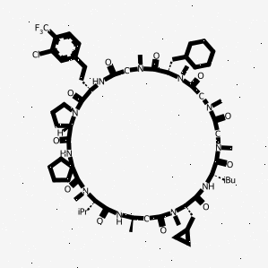 CCC(C)[C@@H]1NC(=O)[C@H](CC2CC2)N(C)C(=O)C[C@@H](C)NC(=O)[C@H](C(C)C)N(C)C(=O)C2(CCCC2)NC(=O)[C@@H]2CCCN2C(=O)[C@H](CCc2ccc(C(F)(F)F)c(Cl)c2)NC(=O)CN(C)C(=O)[C@H](CC2CCCCC2)N(C)C(=O)CN(C)C(=O)CN(C)C1=O